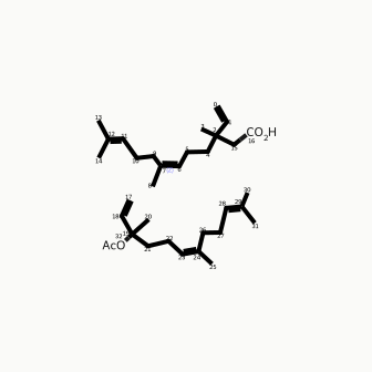 C=CC(C)(CC/C=C(/C)CCC=C(C)C)CC(=O)O.C=CC(C)(CCC=C(C)CCC=C(C)C)OC(C)=O